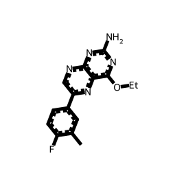 CCOc1nc(N)nc2ncc(-c3ccc(F)c(C)c3)nc12